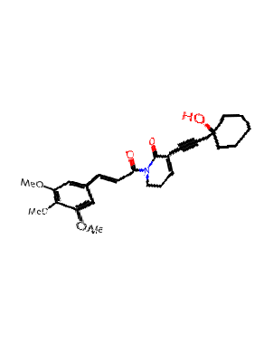 COc1cc(C=CC(=O)N2CCC=C(C#CC3(O)CCCCC3)C2=O)cc(OC)c1OC